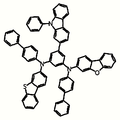 c1ccc(-c2ccc(N(c3cc(-c4ccc5c6ccccc6n(-c6ccccc6)c5c4)cc(N(c4ccc(-c5ccccc5)cc4)c4ccc5c(c4)sc4ccccc45)c3)c3ccc4c(c3)oc3ccccc34)cc2)cc1